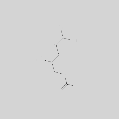 CC(=O)OCC(C)CCC(C)C